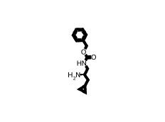 N[C@@H](CNC(=O)OCc1ccccc1)CC1CC1